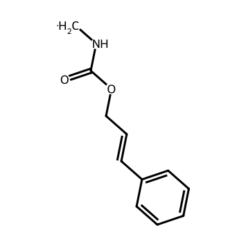 [CH2]NC(=O)OCC=Cc1ccccc1